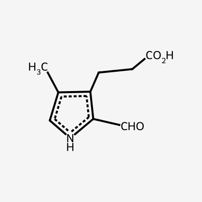 Cc1c[nH]c(C=O)c1CCC(=O)O